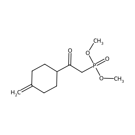 C=C1CCC(C(=O)CP(=O)(OC)OC)CC1